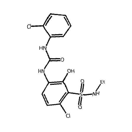 CCNS(=O)(=O)c1c(Cl)ccc(NC(=O)Nc2ccccc2Cl)c1O